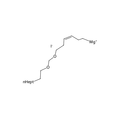 CCCCCCCCCOCOCC/C=C\C[CH2][Mg+].[I-]